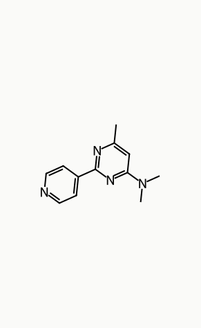 Cc1cc(N(C)C)nc(-c2ccncc2)n1